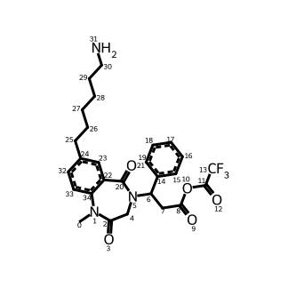 CN1C(=O)CN(C(CC(=O)OC(=O)C(F)(F)F)c2ccccc2)C(=O)c2cc(CCCCCCN)ccc21